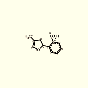 CC1=NOC(c2ccccc2C(=O)O)C1